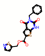 O=C(OCc1ccns1)c1cc2c(=O)n(Cc3ccccc3)c(=O)[nH]c2s1